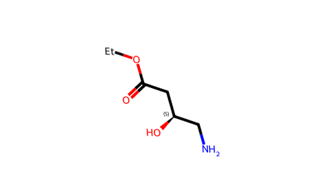 CCOC(=O)C[C@H](O)CN